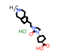 CN1CCc2ccc(CCN3CCN([C@H]4CC[C@H](C(=O)O)CC4)C3=O)cc2CC1.Cl